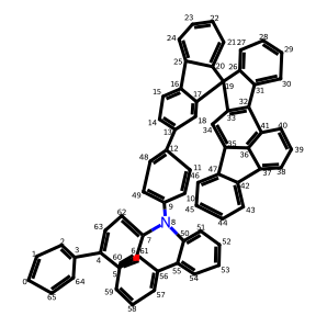 c1ccc(-c2ccc(N(c3ccc(-c4ccc5c(c4)C4(c6ccccc6-5)c5ccccc5-c5c4cc4c6c(cccc56)-c5ccccc5-4)cc3)c3ccccc3-c3ccccc3)cc2)cc1